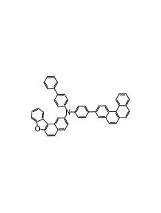 c1ccc(-c2ccc(N(c3ccc(-c4ccc5c(ccc6ccc7ccccc7c65)c4)cc3)c3ccc4ccc5oc6ccccc6c5c4c3)cc2)cc1